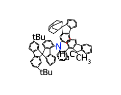 CC(C)(C)c1ccc2c(c1)C1(c3cc(C(C)(C)C)ccc3-2)c2ccccc2-c2c(N(c3ccc4c(c3)C3(c5ccccc5-4)C4CC5CC(C4)CC3C5)c3ccccc3-c3cccc4c3C(C)(C)c3ccccc3-4)cccc21